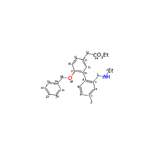 CCNCc1cc(C)ccc1-c1cc(CC(=O)OCC)ccc1OCc1ccccc1